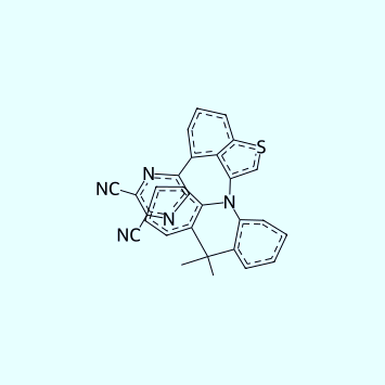 CC1(C)c2ccccc2N(c2csc3cccc(-c4cnc(C#N)c(C#N)n4)c23)c2ccccc21